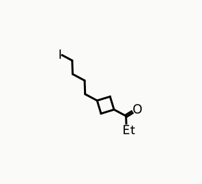 CCC(=O)C1CC(CCCCI)C1